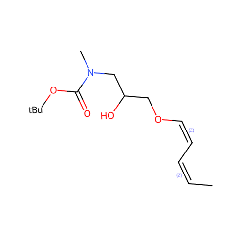 C/C=C\C=C/OCC(O)CN(C)C(=O)OC(C)(C)C